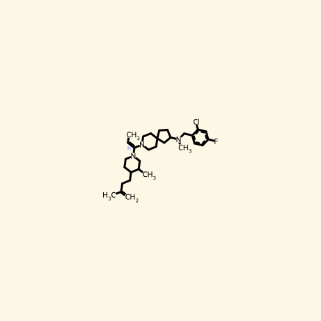 C=C(C)CCC1CCN(/C(=C/C)N2CCC3(CCC(N(C)Cc4ccc(F)cc4Cl)C3)CC2)CC1C